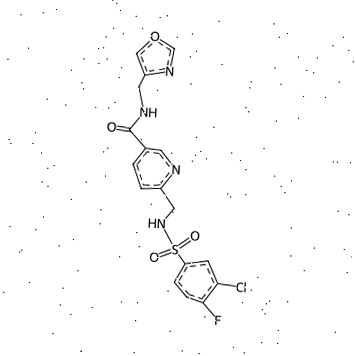 O=C(NCc1cocn1)c1ccc(CNS(=O)(=O)c2ccc(F)c(Cl)c2)nc1